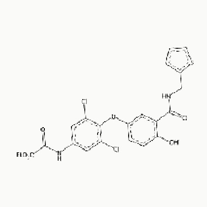 CCOC(=O)C(=O)Nc1cc(Cl)c(Oc2ccc(O)c(C(=O)NCc3cccs3)c2)c(Cl)c1